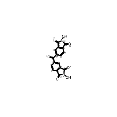 O=C(c1ccc2c(c1)C(=O)N(O)C2=O)c1ccc2c(c1)C(=O)N(O)C2=O